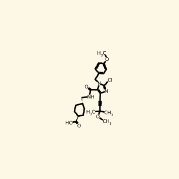 COc1ccc(Cn2c(Cl)nc(C#CC(C)(C)OC)c2C(=O)NC[C@H]2CC[C@H](C(=O)O)CC2)cc1